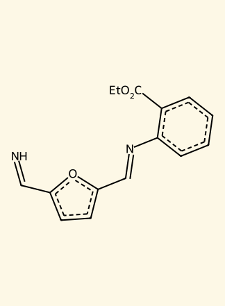 CCOC(=O)c1ccccc1N=Cc1ccc(C=N)o1